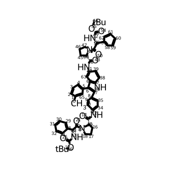 Cc1cccc(-c2c(-c3ccc(NC(=O)[C@@H]4CCCN4C(=O)[C@H](NC(=O)OC(C)(C)C)c4ccccc4)cc3)[nH]c3ccc(NC(=O)[C@@H]4CCCN4C(=O)[C@H](NC(=O)OC(C)(C)C)c4ccccc4)cc23)c1